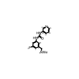 CNCc1cc(F)cc(NC(=O)Nc2cccnc2)c1